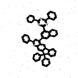 c1ccc(-c2cc(-c3cc(-c4nc(-c5ccccc5)nc(-c5ccccc5)n4)c4ccccc4c3)c3cc4c(cc3n2)C(c2ccccc2)(c2ccccc2)c2ccccc2-4)cc1